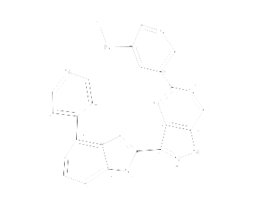 CC(C)Nc1cncc(-c2cc3c(-c4cc5c(-c6ccncc6)cccc5[nH]4)n[nH]c3cn2)c1